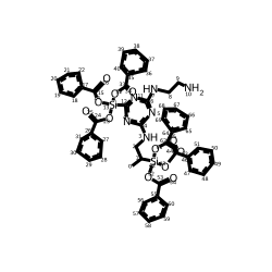 CC(CNc1nc(NCCN)nc([Si](OC(=O)c2ccccc2)(OC(=O)c2ccccc2)OC(=O)c2ccccc2)n1)[Si](OC(=O)c1ccccc1)(OC(=O)c1ccccc1)OC(=O)c1ccccc1